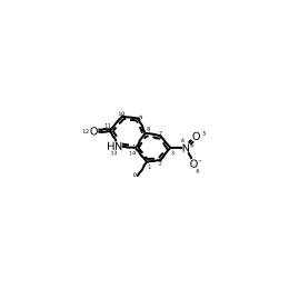 Cc1cc([N+](=O)[O-])cc2ccc(=O)[nH]c12